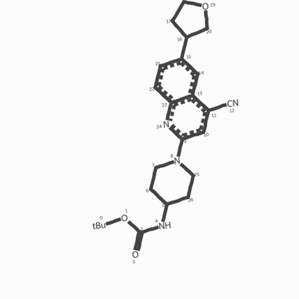 CC(C)(C)OC(=O)NC1CCN(c2cc(C#N)c3cc(C4CCOC4)ccc3n2)CC1